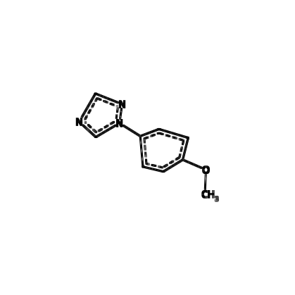 COc1ccc(-n2cncn2)cc1